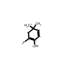 CC1(C)C=CC(O)=C(F)C1